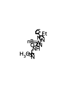 CCCCc1c(C(=O)NCc2cncn2C)cnn1-c1ncc(CC)c(-c2cccs2)n1